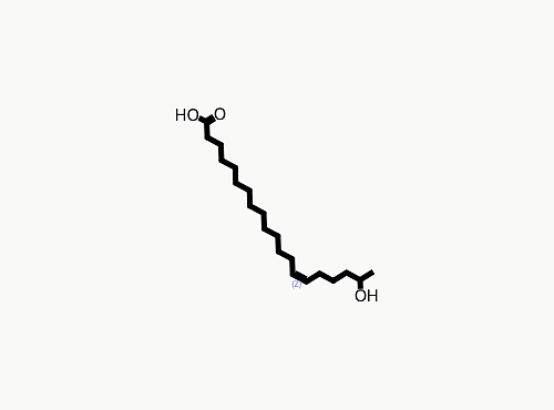 CC(O)CCC/C=C\CCCCCCCCCCCCC(=O)O